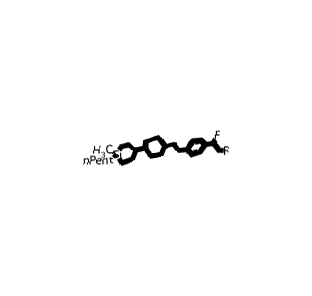 CCCCC[Si]1(C)CCC(C2CCC(CCc3ccc(C(F)=CF)cc3)CC2)CC1